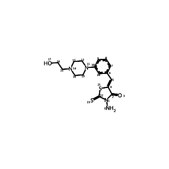 NN1C(=O)C(=Cc2cccc(N3CCN(CCO)CC3)c2)SC1=S